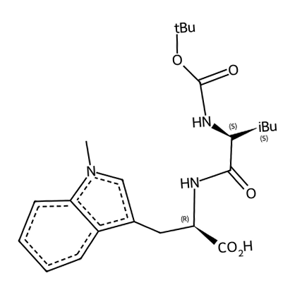 CC[C@H](C)[C@H](NC(=O)OC(C)(C)C)C(=O)N[C@H](Cc1cn(C)c2ccccc12)C(=O)O